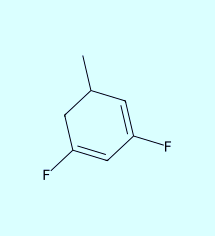 CC1C=C(F)C=C(F)C1